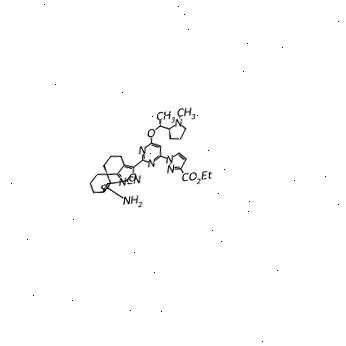 CCOC(=O)c1ccn(-c2cc(O[C@@H](C)[C@@H]3CCCN3C)nc(-c3onc4c3CCC[C@@]43CCCc4sc(N)c(C#N)c43)n2)n1